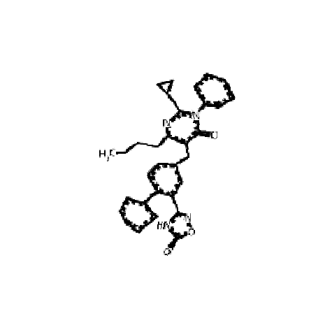 CCCCc1nc(C2CC2)n(-c2ccccc2)c(=O)c1Cc1ccc(-c2ccccc2)c(-c2noc(=O)[nH]2)c1